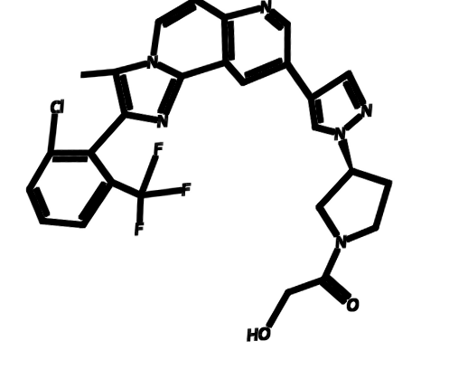 Cc1c(-c2c(Cl)cccc2C(F)(F)F)nc2c3cc(-c4cnn([C@H]5CCN(C(=O)CO)C5)c4)cnc3ccn12